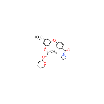 C[C@@H](COC1CCCCO1)Oc1cc(Oc2ccc(C(=O)N3CCC3)cc2)cc(C(=O)O)c1